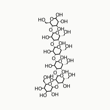 OC[C@H]1O[C@@H](O[C@H]2[C@@H](O)[C@@H](CO)O[C@@H](O[C@H]3[C@@H](O)[C@@H](CO)O[C@@H](O[C@H]4[C@@H](O)[C@@H](CO)O[C@@H](O[C@H]5[C@@H](O)[C@@H](CO)O[C@@H](O[C@H]6[C@H](O)[C@@H](O)C(O)O[C@@H]6CO)[C@@H]5O)[C@@H]4O)[C@@H]3O)[C@@H]2O)[C@H](O)[C@@H](O)[C@H]1O